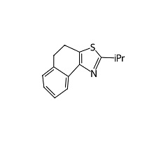 CC(C)c1nc2c(s1)CCc1ccccc1-2